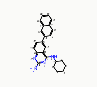 Nc1nc(NC2CCCCC2)c2cc(-c3ccc4ccccc4c3)ccc2n1